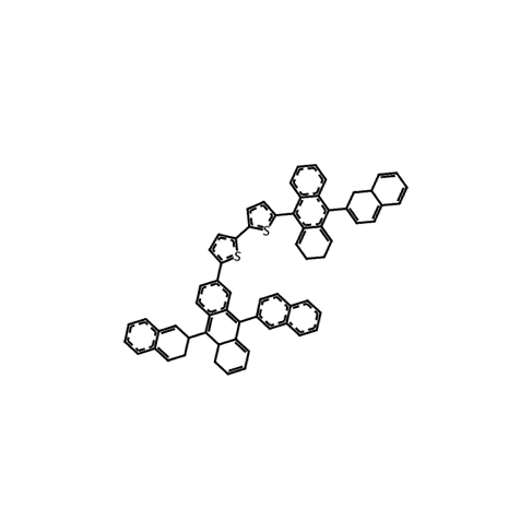 C1=CCC2C(=C1)C(c1ccc3ccccc3c1)=c1cc(-c3ccc(-c4ccc(-c5c6c(c(C7=CC=C8C=CC=CC8C7)c7ccccc57)=CCCC=6)s4)s3)ccc1=C2C1C=c2ccccc2=CC1